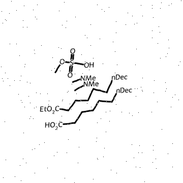 CCCCCCCCCCCCCCCC(=O)O.CCCCCCCCCCCCCCCC(=O)OCC.CNC.CNC.COS(=O)(=O)O